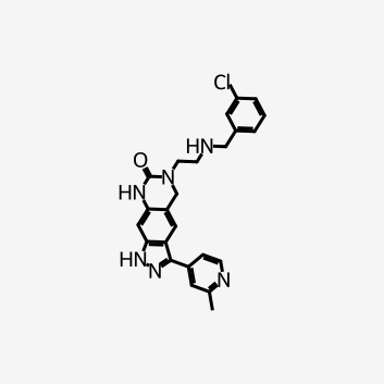 Cc1cc(-c2n[nH]c3cc4c(cc23)CN(CCNCc2cccc(Cl)c2)C(=O)N4)ccn1